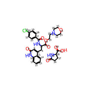 O=C(NC(Cc1cc(=O)[nH]c2ccccc12)C(=O)OCCN1CCOCC1)c1ccc(Cl)cc1.O=C1CCC(C(=O)O)N1